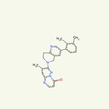 Cc1cc2nccc(=O)n2nc1N1CCc2ncc(-c3cccc(C)c3C)cc2C1